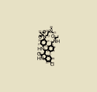 CC(=O)NCc1cccc(/C(Nc2ccc(N(CCN(C)C)S(C)(=O)=O)cc2)=C2/C(=O)Nc3cc(Cl)ccc32)c1